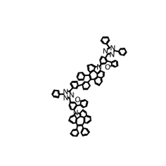 C1=CC(c2cccc(-c3nc(-c4ccccc4)nc(-c4ccc(-n5c6cccc7c6c6c8c(cccc8ccc65)C(c5ccccc5)=C7c5ccccc5)c5c4oc4ccccc45)n3)c2)=CC(C2=C(c3ccccc3)c3cccc4c3c3c5c2cccc5ccc3n4-c2ccc(-c3nc(-c4ccccc4)nc(-c4ccccc4)n3)c3c2oc2ccccc23)C1